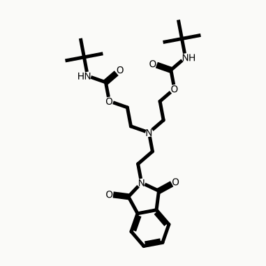 CC(C)(C)NC(=O)OCCN(CCOC(=O)NC(C)(C)C)CCN1C(=O)c2ccccc2C1=O